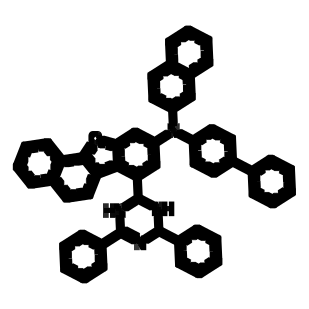 c1ccc(C2=NC(c3ccccc3)NC(c3cc(N(c4ccc(-c5ccccc5)cc4)c4ccc5ccccc5c4)cc4oc5c6ccccc6ccc5c34)N2)cc1